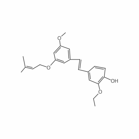 CCOc1cc(C=Cc2cc(OC)cc(OCC=C(C)C)c2)ccc1O